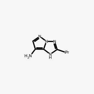 CC(C)c1nn2ncc(N)c2[nH]1